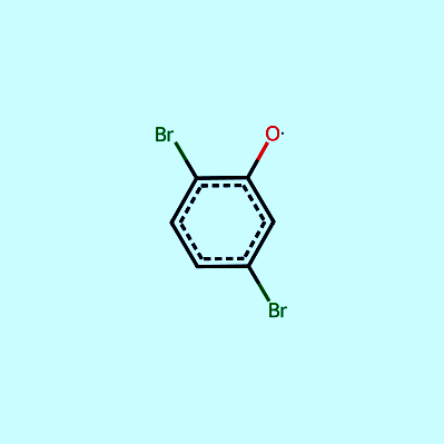 [O]c1cc(Br)ccc1Br